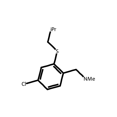 CNCc1ccc(Cl)cc1SCC(C)C